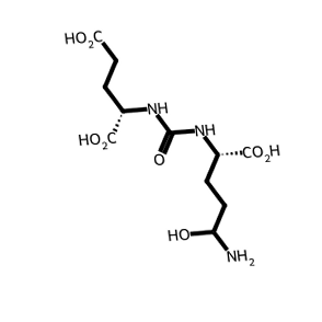 NC(O)CC[C@H](NC(=O)N[C@@H](CCC(=O)O)C(=O)O)C(=O)O